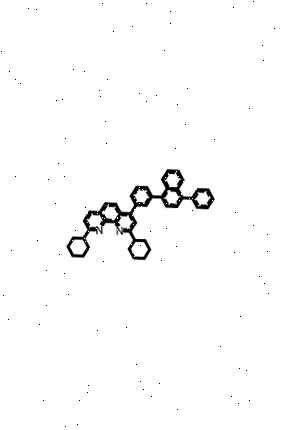 c1ccc(-c2ccc(-c3cccc(-c4cc(C5CCCCC5)nc5c4ccc4ccc(C6CCCCC6)nc45)c3)c3ccccc23)cc1